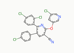 N#Cc1cc(-c2ccc(Cl)cc2)c(-c2ccc(Cl)cc2Cl)nc1Oc1cncc(Cl)c1